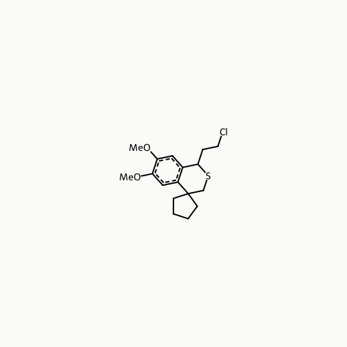 COc1cc2c(cc1OC)C1(CCCC1)CSC2CCCl